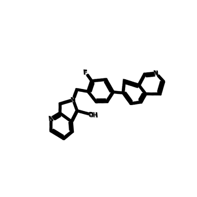 OC1c2cccnc2CN1Cc1ccc(-c2ccc3ccncc3c2)cc1F